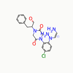 N/C=C\N(N)c1ccc(Cl)cc1N1CC(=O)N(C(C=O)Cc2ccccc2)CC1=O